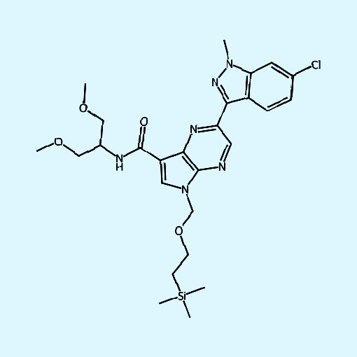 COCC(COC)NC(=O)c1cn(COCC[Si](C)(C)C)c2ncc(-c3nn(C)c4cc(Cl)ccc34)nc12